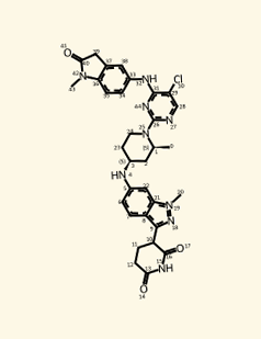 C[C@H]1C[C@@H](Nc2ccc3c(C4CCC(=O)NC4=O)nn(C)c3c2)CCN1c1ncc(Cl)c(Nc2ccc3c(c2)CC(=O)N3C)n1